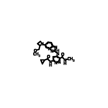 CNC(=O)c1nnc(NC(=O)C2CC2)cc1Nc1nc2ccc(N3CCC3COC)cn2n1